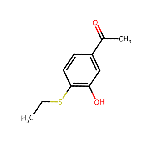 CCSc1ccc(C(C)=O)cc1O